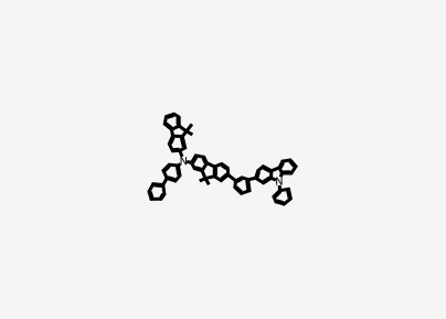 CC1(C)c2ccccc2-c2ccc(N(c3ccc(-c4ccccc4)cc3)c3ccc4c(c3)C(C)(C)c3cc(-c5cccc(-c6ccc7c8ccccc8n(-c8ccccc8)c7c6)c5)ccc3-4)cc21